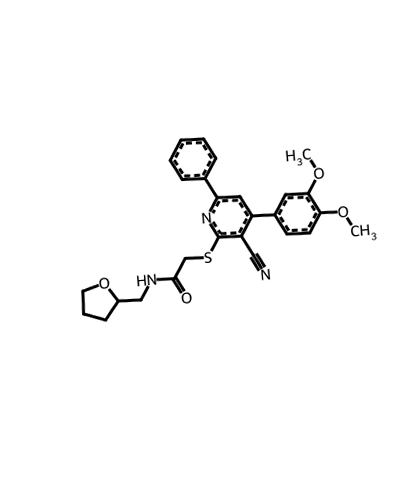 COc1ccc(-c2cc(-c3ccccc3)nc(SCC(=O)NCC3CCCO3)c2C#N)cc1OC